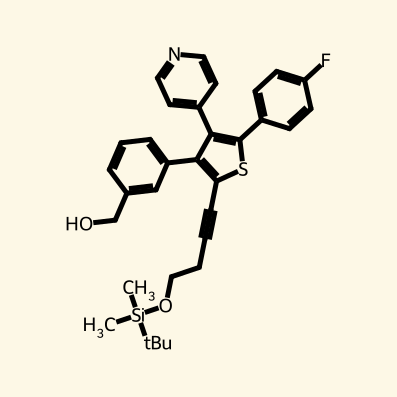 CC(C)(C)[Si](C)(C)OCCC#Cc1sc(-c2ccc(F)cc2)c(-c2ccncc2)c1-c1cccc(CO)c1